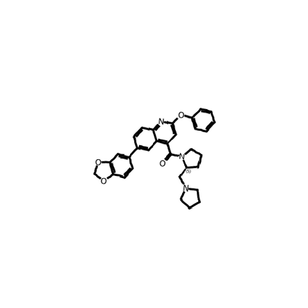 O=C(c1cc(Oc2ccccc2)nc2ccc(-c3ccc4c(c3)OCO4)cc12)N1CCC[C@H]1CN1CCCC1